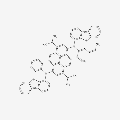 C=N/C(=C\C=C/C)N(c1cc(C(C)C)c2ccc3c(N(c4ccccn4)c4cccc5c4sc4ccccc45)cc(C(C)C)c4ccc1c2c43)c1cccc2c1sc1ccccc12